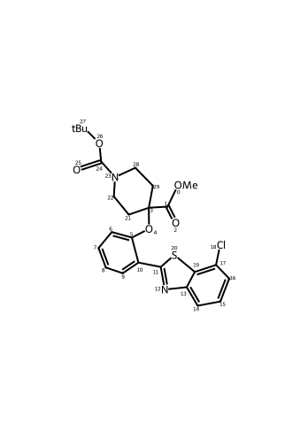 COC(=O)C1(Oc2ccccc2-c2nc3cccc(Cl)c3s2)CCN(C(=O)OC(C)(C)C)CC1